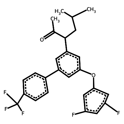 CC(=O)C(CC(C)C)c1cc(Oc2cc(F)cc(F)c2)cc(-c2ccc(C(F)(F)F)cc2)c1